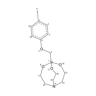 Ic1ccc(OC[Si]23OCCN(CCO2)CCO3)cc1